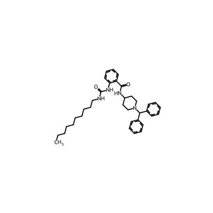 CCCCCCCCCCNC(=O)Nc1ccccc1C(=O)NC1CCN(C(c2ccccc2)c2ccccc2)CC1